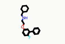 Fc1ccc(OCCNCC2CCCCC2)cc1-c1ccccc1